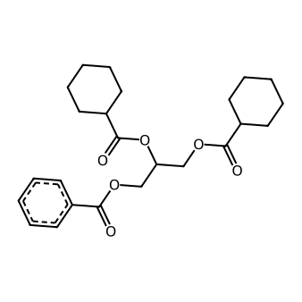 O=C(OCC(COC(=O)C1CCCCC1)OC(=O)C1CCCCC1)c1ccccc1